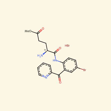 Br.COC(=O)CC[C@H](N)C(=O)Nc1ccc(Br)cc1C(=O)c1ccccn1